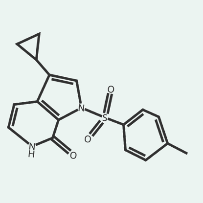 Cc1ccc(S(=O)(=O)n2cc(C3CC3)c3cc[nH]c(=O)c32)cc1